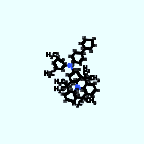 Cc1cc(C)cc(N(c2ccc(-c3ccccc3)cc2)c2cc3c4c(c2)C(C)(C)c2cccc5c2N4c2c(cccc2C3(C)C)C5(C)C)c1